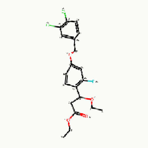 CCOC(=O)CC(OCC)c1ccc(OCc2ccc(Cl)c(Cl)c2)cc1F